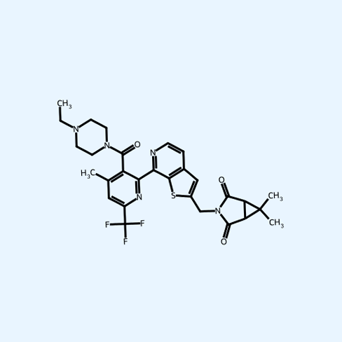 CCN1CCN(C(=O)c2c(C)cc(C(F)(F)F)nc2-c2nccc3cc(CN4C(=O)C5C(C4=O)C5(C)C)sc23)CC1